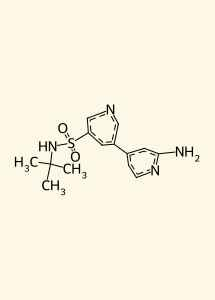 CC(C)(C)NS(=O)(=O)c1cncc(-c2ccnc(N)c2)c1